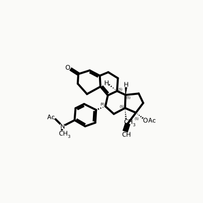 C#C[C@]1(OC(C)=O)CC[C@H]2[C@@H]3CCC4=CC(=O)CCC4=C3[C@@H](c3ccc(N(C)C(C)=O)cc3)C[C@@]21C